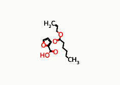 C=CCOC(=O)CCCCC.O=C(O)c1ccco1